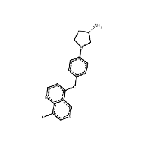 N[C@H]1CCN(c2ccc(Oc3ccnc4c(F)cncc34)cc2)C1